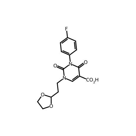 O=C(O)c1cn(CCC2OCCO2)c(=O)n(-c2ccc(F)cc2)c1=O